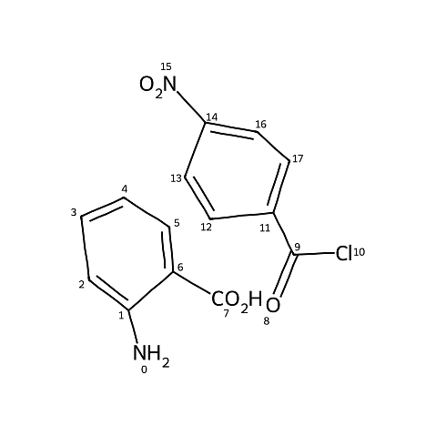 Nc1ccccc1C(=O)O.O=C(Cl)c1ccc([N+](=O)[O-])cc1